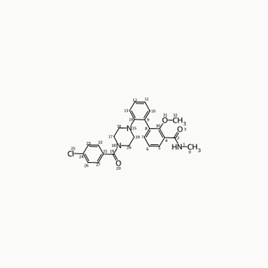 CNC(=O)c1cccc(-c2ccccc2N2CCN(C(=O)c3ccc(Cl)cc3)CC2)c1OC